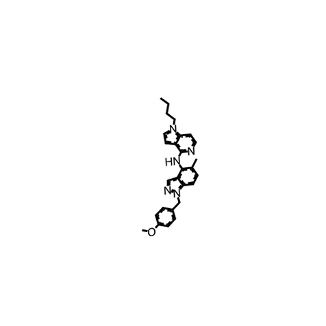 CCCCn1ccc2c(Nc3c(C)ccc4c3cnn4Cc3ccc(OC)cc3)nccc21